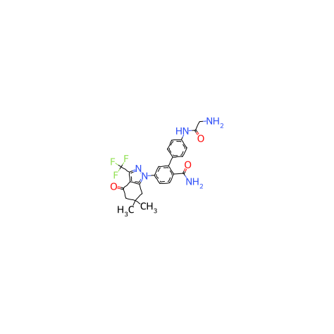 CC1(C)CC(=O)c2c(C(F)(F)F)nn(-c3ccc(C(N)=O)c(-c4ccc(NC(=O)CN)cc4)c3)c2C1